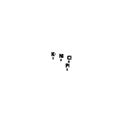 [C].[K].[N].[P]